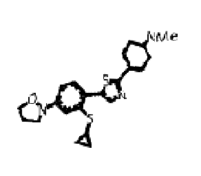 CNC1CCC(c2ncc(-c3ccc(N4CCCO4)cc3SC3CC3)s2)CC1